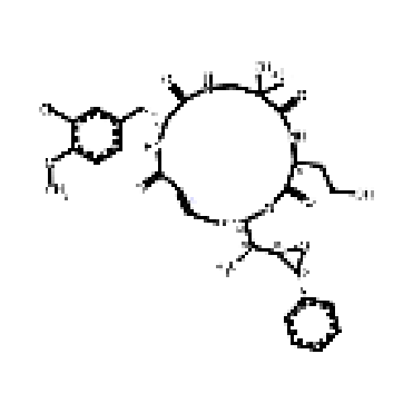 COc1ccc(C[C@H]2NC(=O)/C=C/C[C@@H]([C@H](C)[C@H]3O[C@@H]3c3ccccc3)OC(=O)[C@H](CCO)NC(=O)C(C)(C)CNC2=O)cc1Cl